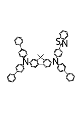 CC1(C)c2cc(N(c3ccc(-c4ccccc4)cc3)c3ccc(-c4ccccc4)cc3)ccc2-c2ccc(N(c3ccc(-c4ccccc4)cc3)c3ccc(-c4nc5ccccc5s4)cc3)cc21